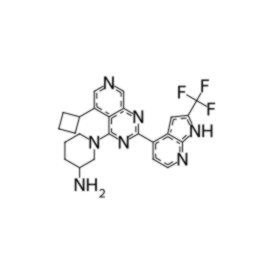 NC1CCCN(c2nc(-c3ccnc4[nH]c(C(F)(F)F)cc34)nc3cncc(C4CCC4)c23)C1